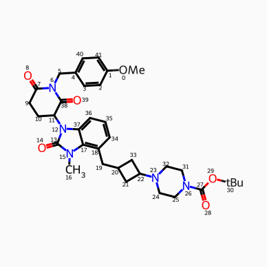 COc1ccc(CN2C(=O)CCC(n3c(=O)n(C)c4c(CC5CC(N6CCN(C(=O)OC(C)(C)C)CC6)C5)cccc43)C2=O)cc1